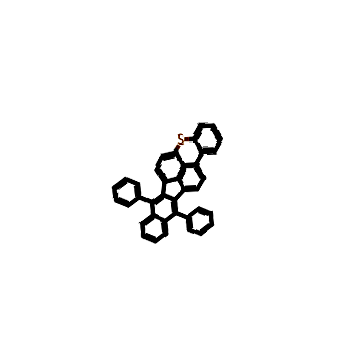 c1ccc(-c2c3ccccc3c(-c3ccccc3)c3c4ccc5c6ccccc6sc6ccc(c23)c4c65)cc1